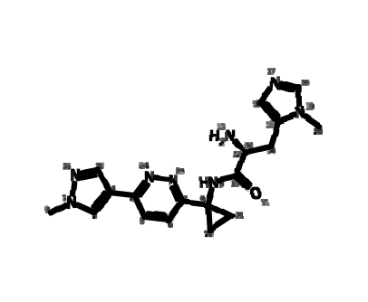 Cn1cc(-c2ccc(C3(NC(=O)[C@@H](N)Cc4cncn4C)CC3)nn2)cn1